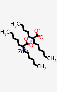 CCCCC/C=C(/CCCCC)C(=O)[O-].CCCCC/C=C(/CCCCC)C(=O)[O-].[Zn+2]